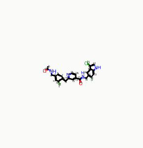 CC(=O)NCc1ccc(Cc2cc(C(=O)NCc3cc4c(Cl)c[nH]c4cc3F)ccn2)c(F)c1